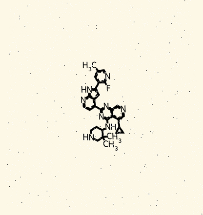 Cc1cnc(F)c(-c2cc3c(-c4nc(NC5CCNCC5(C)C)c5c(C6CC6)cncc5n4)ccnc3[nH]2)c1